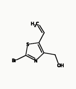 C=Cc1sc(Br)nc1CO